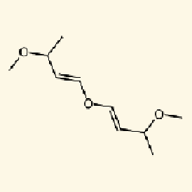 COC(C)C=COC=CC(C)OC